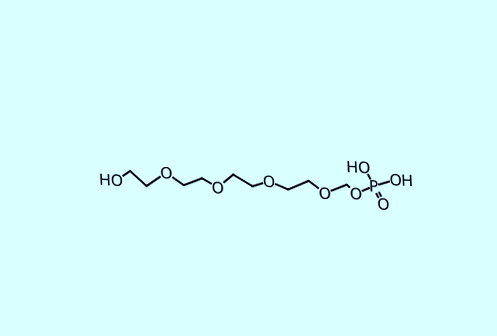 O=P(O)(O)OCOCCOCCOCCOCCO